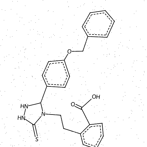 O=C(O)c1ccccc1CCN1C(=S)NNC1c1ccc(OCc2ccccc2)cc1